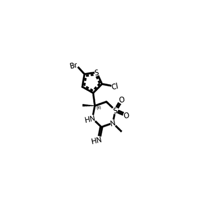 CN1C(=N)N[C@](C)(c2cc(Br)sc2Cl)CS1(=O)=O